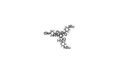 CCCCC1CCC(NC(=O)c2cc(NC(=O)C3CCC(C(C)(C)C)CC3)cc(NC(=O)C3CCC(C(C)(C)C)CC3)c2)CC1